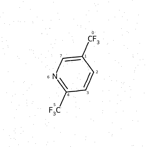 FC(F)(F)c1ccc(C(F)(F)F)nc1